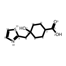 O=C(O)C1CCC(O)(Cc2nccs2)CC1